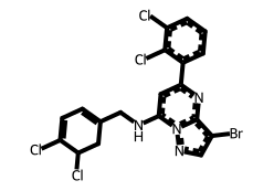 ClC1=CC=C(CNc2cc(-c3cccc(Cl)c3Cl)nc3c(Br)cnn23)CC1Cl